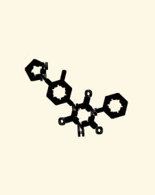 Cc1cc(-n2c(=O)[nH]c(=O)n(-c3ccccc3)c2=O)ccc1-n1cccn1